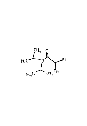 CC(C)N(C(=O)C(Br)Br)C(C)C